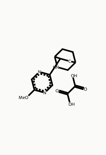 COc1cnc(C2CC3CCC2NC3)cn1.O=C(O)C(=O)O